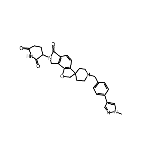 Cn1cc(-c2ccc(CN3CCC4(CC3)COc3c4ccc4c3CN(C3CCC(=O)NC3=O)C4=O)cc2)cn1